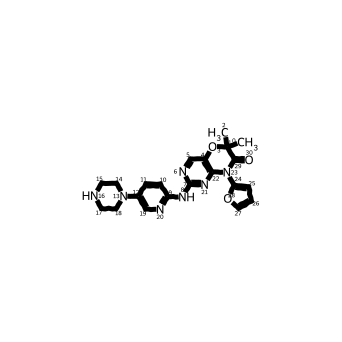 CC1(C)Oc2cnc(Nc3ccc(N4CCNCC4)cn3)nc2N(c2ccco2)C1=O